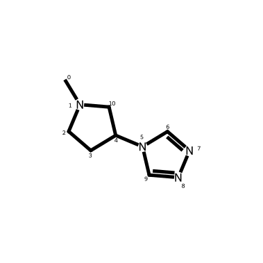 CN1CCC(n2cnnc2)C1